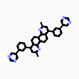 Cc1cc(-c2cccc(-c3cncnc3)c2)c2ccc3c(ccc4c(-c5cccc(-c6cncnc6)c5)cc(C)nc43)c2n1